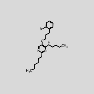 CCCCCCc1ncc(OCCCc2ccccc2Br)c(NCCCC)n1